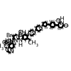 CCc1cc(Nc2ncc(Br)c(Nc3ccc4nccnc4c3P(C)(C)=O)n2)c(OC)cc1N1CCN(C2CCN(C3CCC(c4ccc(C5CCC(=O)NC5=O)cc4)C3)CC2)CC1